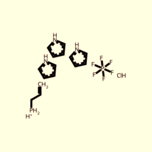 C=CCP.Cl.F[P-](F)(F)(F)(F)F.[H+].c1cc[nH]c1.c1cc[nH]c1.c1cc[nH]c1